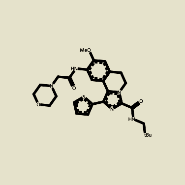 COc1cc2c(cc1NC(=O)CN1CCOCC1)-c1c(-c3cccs3)nc(C(=O)NCC(C)(C)C)n1CC2